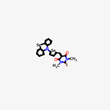 CN1C(=O)C(=Cc2ccc(N3c4ccccc4[Se]c4ccccc43)[se]2)C(=O)N(C)C1=S